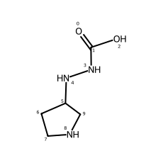 O=C(O)NNC1CCNC1